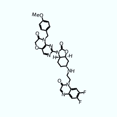 COc1ccc(CN2C(=O)COc3cnc(N4C(=O)O[C@H]5C[C@@H](NCCn6c(=O)cnc7cc(F)c(F)cc76)CC[C@@H]54)nc32)cc1